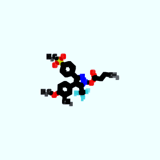 CCCC(=O)On1nc(-c2ccc(S(C)(=O)=O)cc2)c(-c2ccc(OC)c(C)c2)c1C(F)(F)F